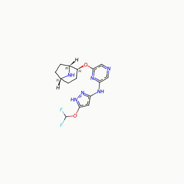 FC(F)Oc1cc(Nc2cncc(O[C@H]3CC[C@@H]4CC[C@H]3N4)n2)n[nH]1